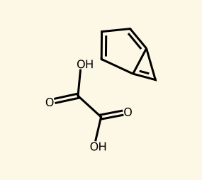 O=C(O)C(=O)O.c1cc2cc-2c1